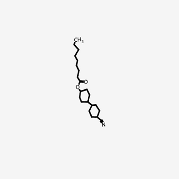 CCCCCCCCC(=O)OC1CCC(C2CCC(C#N)CC2)CC1